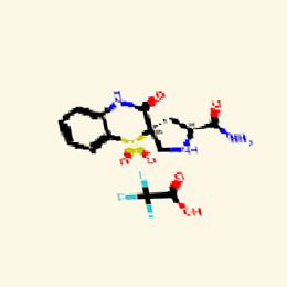 NC(=O)[C@@H]1C[C@@]2(CN1)C(=O)Nc1ccccc1S2(=O)=O.O=C(O)C(F)(F)F